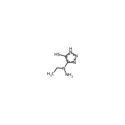 CCN(N)c1nn[nH]c1S